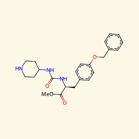 COC(=O)[C@H](Cc1ccc(OCc2ccccc2)cc1)NC(=O)NC1CCNCC1